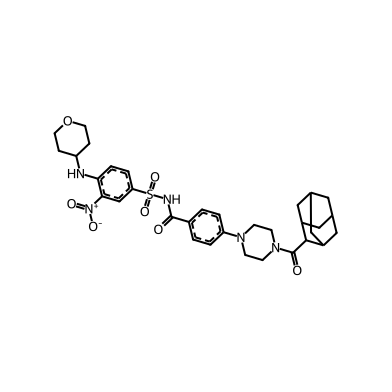 O=C(NS(=O)(=O)c1ccc(NC2CCOCC2)c([N+](=O)[O-])c1)c1ccc(N2CCN(C(=O)C3C4CC5CC(C4)CC3C5)CC2)cc1